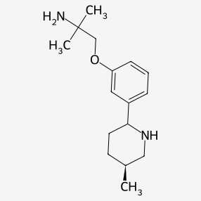 C[C@H]1CCC(c2cccc(OCC(C)(C)N)c2)NC1